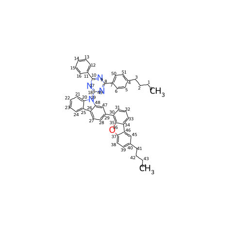 CCCCc1ccc(-c2nc(-c3ccccc3)nc(-n3c4ccccc4c4ccc(-c5cccc6c5oc5ccc(CCCC)cc56)cc43)n2)cc1